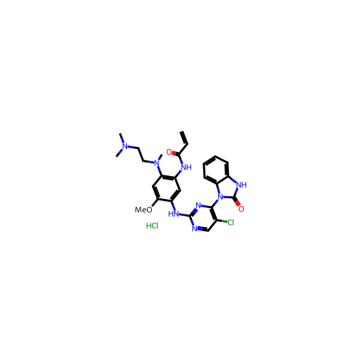 C=CC(=O)Nc1cc(Nc2ncc(Cl)c(-n3c(=O)[nH]c4ccccc43)n2)c(OC)cc1N(C)CCN(C)C.Cl